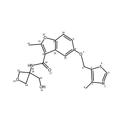 Cc1ncsc1COc1ccc2oc(C)c(C(=O)NC3(CO)COC3)c2c1